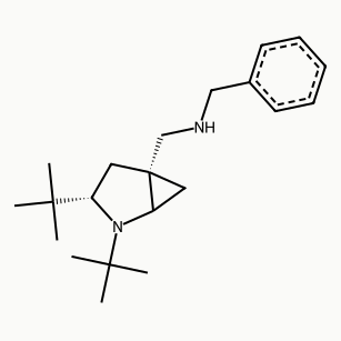 CC(C)(C)[C@@H]1C[C@@]2(CNCc3ccccc3)CC2N1C(C)(C)C